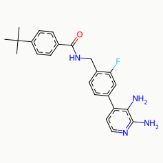 CC(C)(C)c1ccc(C(=O)NCc2ccc(-c3ccnc(N)c3N)cc2F)cc1